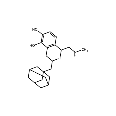 CNCC1OC(CC23CC4CC(CC(C4)C2)C3)Cc2c1ccc(O)c2O